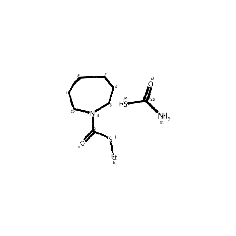 CCSC(=O)N1CCCCCC1.NC(=O)S